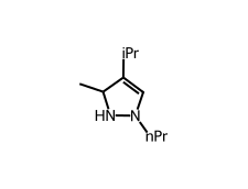 CCCN1C=C(C(C)C)C(C)N1